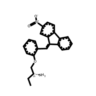 CC[C@@H](N)COc1ccccc1C=C1c2ccccc2-c2ccc([N+](=O)[O-])cc21